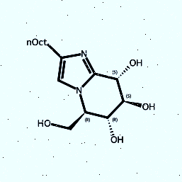 CCCCCCCCc1cn2c(n1)[C@H](O)[C@@H](O)[C@H](O)[C@H]2CO